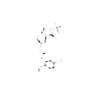 C=N/C(=C\C(=C/C)NC(=O)Cc1cc(Cl)ccc1OC)C(=O)NC(C)(C)C